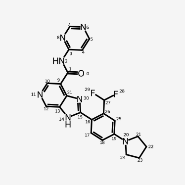 O=C(Nc1ccncn1)c1cncc2[nH]c(-c3ccc(N4CCCC4)cc3C(F)F)nc12